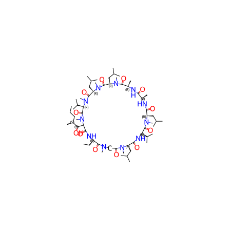 CCC[C@H](C)[C@H](O)C1C(=O)N[C@H](CC)C(=O)N(C)CC(=O)N(C)[C@H](CC(C)C)C(=O)N[C@H](C(C)C)C(=O)N(C)[C@H](CC(C)C)C(=O)N[C@H](C)C(=O)N[C@H](C)C(=O)N(C)[C@H](CC(C)C)C(=O)N(C)[C@H](CC(C)C)C(=O)N(C)[C@H](C(C)C)C(=O)N1C